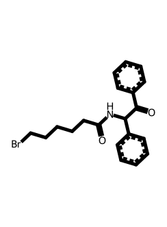 O=C(CCCCCBr)NC(C(=O)c1ccccc1)c1ccccc1